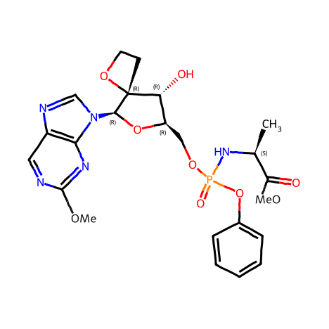 COC(=O)[C@H](C)NP(=O)(OC[C@H]1O[C@@H](n2cnc3cnc(OC)nc32)[C@@]2(CCO2)[C@@H]1O)Oc1ccccc1